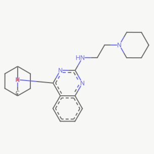 c1ccc2c(N3CC4CCC(CC4)C3)nc(NCCN3CCCCC3)nc2c1